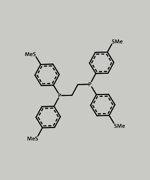 CSc1ccc(P(CCP(c2ccc(SC)cc2)c2ccc(SC)cc2)c2ccc(SC)cc2)cc1